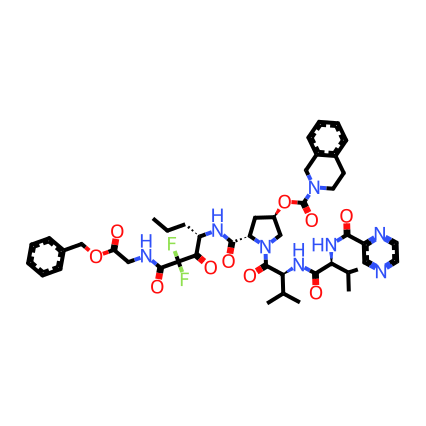 CCC[C@H](NC(=O)[C@@H]1C[C@@H](OC(=O)N2CCc3ccccc3C2)CN1C(=O)[C@@H](NC(=O)[C@@H](NC(=O)c1cnccn1)C(C)C)C(C)C)C(=O)C(F)(F)C(=O)NCC(=O)OCc1ccccc1